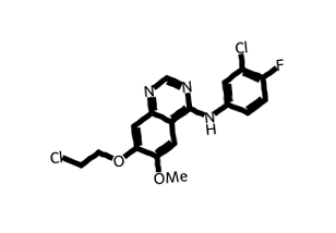 COc1cc2c(Nc3ccc(F)c(Cl)c3)ncnc2cc1OCCCl